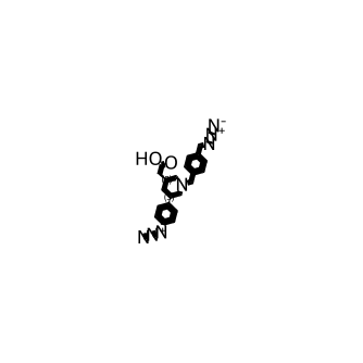 [N-]=[N+]=NCc1ccc(CN2C[C@H](CC(=O)O)C[C@@H](c3ccc(N=[N+]=[N-])cc3)C2)cc1